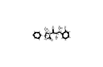 C[C@H]1[C@@H](c2ccccc2)OC(=O)N1C(=O)[C@@H](Br)[C@H](O)c1ccccc1F